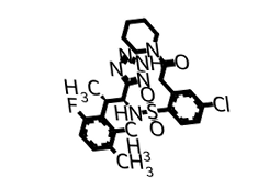 Cc1ccc(F)c([C@@H](C)[C@H](NS(=O)(=O)c2ccc(Cl)cc2CC(=O)N2CCCCC2)c2nn[nH]n2)c1C